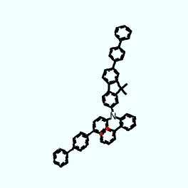 CC1(C)c2cc(-c3ccc(-c4ccccc4)cc3)ccc2-c2ccc(N(c3ccc(-c4ccc(-c5ccccc5)cc4)cc3)c3ccccc3-c3ccccc3)cc21